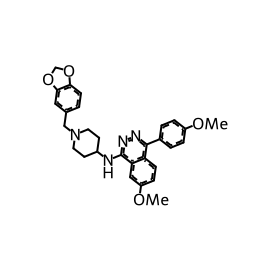 COc1ccc(-c2nnc(NC3CCN(Cc4ccc5c(c4)OCO5)CC3)c3cc(OC)ccc23)cc1